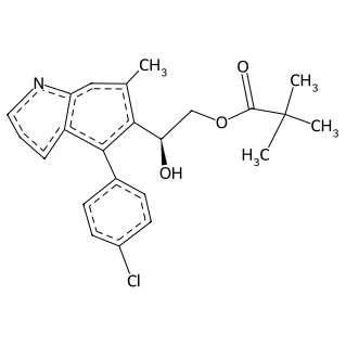 Cc1cc2ncccc2c(-c2ccc(Cl)cc2)c1[C@H](O)COC(=O)C(C)(C)C